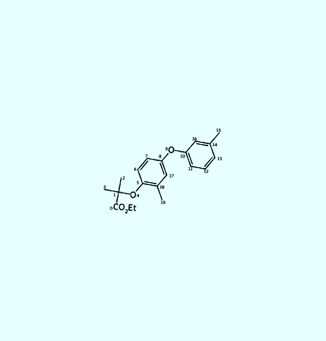 CCOC(=O)C(C)(C)Oc1ccc(Oc2cccc(C)c2)cc1C